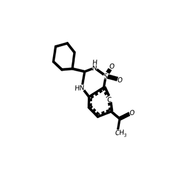 CC(=O)c1ccc2c(c1)S(=O)(=O)NC(C1CCCCC1)N2